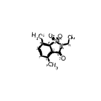 Cc1ccc(C)c2c1C(=O)N(CCl)S2(=O)=O